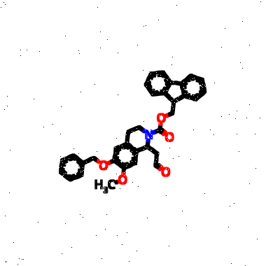 COc1cc2c(cc1OCc1ccccc1)CCN(C(=O)OCC1c3ccccc3-c3ccccc31)C2CC=O